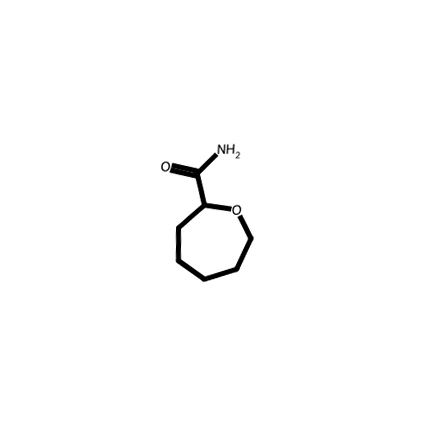 NC(=O)C1CCCCCO1